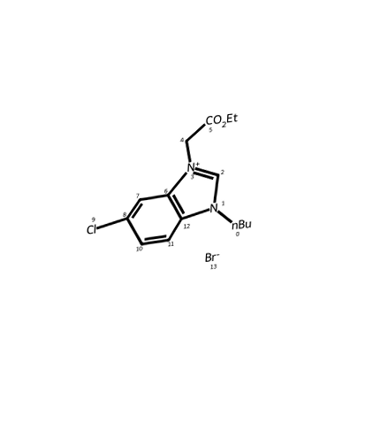 CCCCn1c[n+](CC(=O)OCC)c2cc(Cl)ccc21.[Br-]